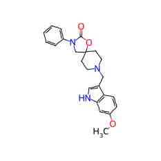 COc1ccc2c(CN3CCC4(CC3)CN(c3ccccc3)C(=O)O4)c[nH]c2c1